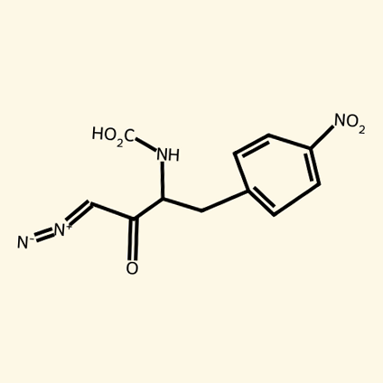 [N-]=[N+]=CC(=O)C(Cc1ccc([N+](=O)[O-])cc1)NC(=O)O